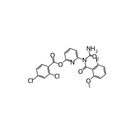 COc1cccc(F)c1C(=O)N(C(N)=O)c1cccc(OC(=O)c2ccc(Cl)cc2Cl)n1